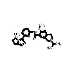 COc1cc2c(cc1C(=O)Nc1cccc(-c3nnc4n3[C@@H](C)CC4)n1)CN(C(C)C)CC2